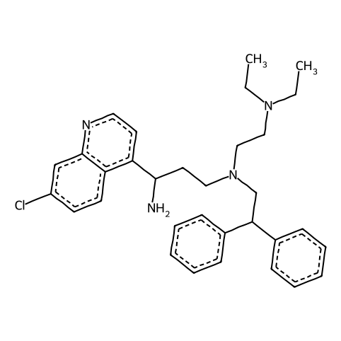 CCN(CC)CCN(CCC(N)c1ccnc2cc(Cl)ccc12)CC(c1ccccc1)c1ccccc1